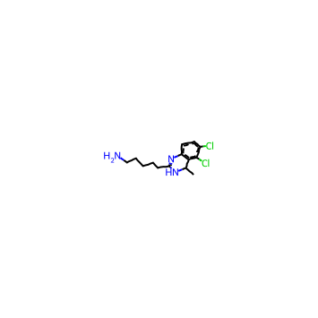 CC1NC(CCCCCN)=Nc2ccc(Cl)c(Cl)c21